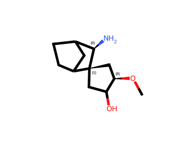 CO[C@@H]1C[C@@]2(CC1O)C1CCC(C1)[C@H]2N